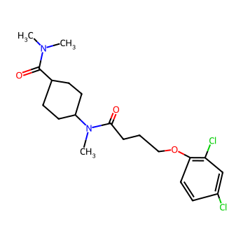 CN(C)C(=O)C1CCC(N(C)C(=O)CCCOc2ccc(Cl)cc2Cl)CC1